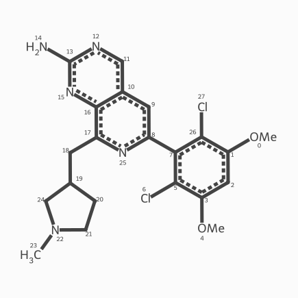 COc1cc(OC)c(Cl)c(-c2cc3cnc(N)nc3c(CC3CCN(C)C3)n2)c1Cl